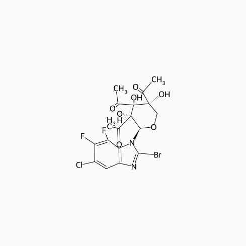 CC(=O)[C@@]1(O)[C@@](O)(C(C)=O)CO[C@@H](n2c(Br)nc3cc(Cl)c(F)c(F)c32)[C@@]1(O)C(C)=O